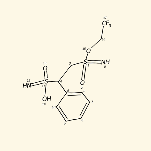 N=S(=O)(CC(c1ccccc1)S(=N)(=O)O)OCC(F)(F)F